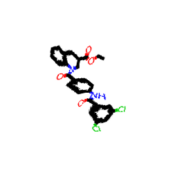 CCOC(=O)C1Cc2ccccc2N(C(=O)c2ccc(NC(=O)c3cc(Cl)cc(Cl)c3)cc2)C1